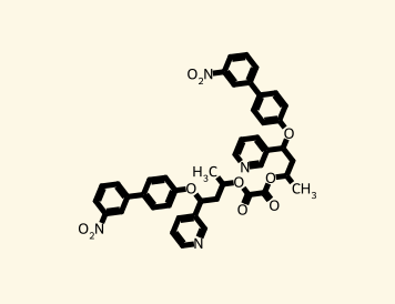 CC(CC(Oc1ccc(-c2cccc([N+](=O)[O-])c2)cc1)c1cccnc1)OC(=O)C(=O)OC(C)CC(Oc1ccc(-c2cccc([N+](=O)[O-])c2)cc1)c1cccnc1